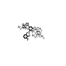 CC1(C)OC[C@@H](C(C)(C)Oc2cc(C3CCN3S(N)(=O)=O)nc(SCc3cccc(F)c3F)n2)O1